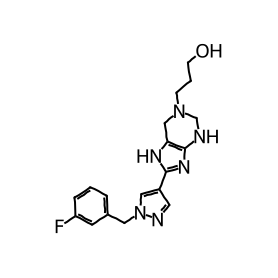 OCCCN1CNc2nc(-c3cnn(Cc4cccc(F)c4)c3)[nH]c2C1